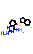 Nc1nc(N)c2c(OC3CCc4ccc(F)cc43)cccc2n1